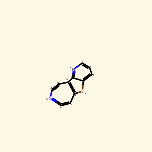 C1=Cc2sc3cccnc3c2C=CN=1